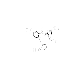 CC(C)Cn1cc(C(C)(C)C)sc1=NC(=O)c1cc(C(F)(F)F)ccc1OC[C@@H]1CCCN1C